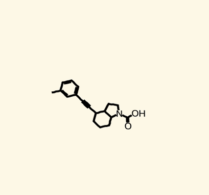 Cc1cccc(C#CC2CCCC3C2CCN3C(=O)O)c1